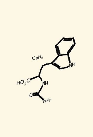 CCCC(=O)NC(Cc1c[nH]c2ccccc12)C(=O)O.[CaH2]